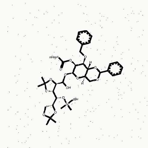 CCCCCCCC(=O)O[C@@H]1[C@H](OC(O)[C@@H]2OC(C)(C)O[C@H]2[C@H](O[Si](C)(C)C(C)(C)C)[C@H]2COC(C)(C)O2)O[C@@H]2COC(c3ccccc3)O[C@H]2[C@@H]1OCc1ccccc1